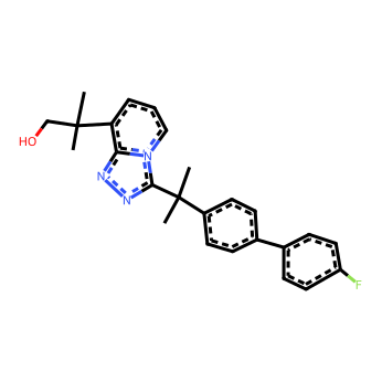 CC(C)(CO)c1cccn2c(C(C)(C)c3ccc(-c4ccc(F)cc4)cc3)nnc12